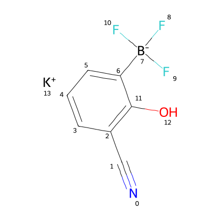 N#Cc1cccc([B-](F)(F)F)c1O.[K+]